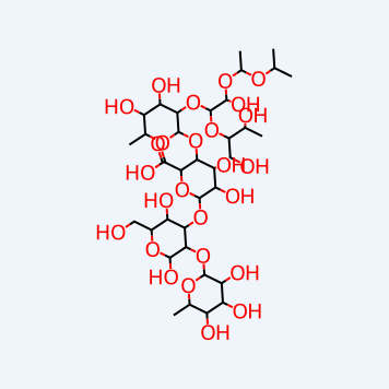 CC(C)OC(C)OC(O)C(OC(CO)C(C)O)OC1C(OC2C(C(=O)O)OC(OC3C(O)C(CO)OC(O)C3OC3OC(C)C(O)C(O)C3O)C(O)C2O)OC(C)C(O)C1O